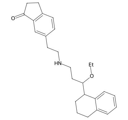 CCOC(CCNCCc1ccc2c(c1)C(=O)CC2)C1CCCc2ccccc21